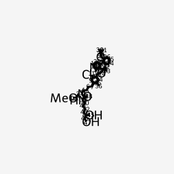 COCCN(CCCCc1cc(Cl)c(COC2(c3cnccc3-c3ccccc3OC3CC3)CC2)cc1C)C(=O)NCCCCC(O)CO